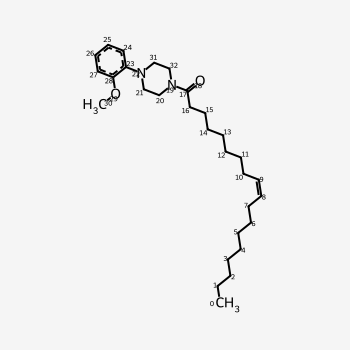 CCCCCCCC/C=C\CCCCCCCC(=O)N1CCN(c2ccccc2OC)CC1